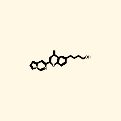 C=C1C=C(c2cc3cccn3cn2)Oc2ccc(CCCCO)cc21